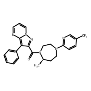 C[C@@H]1CCN(c2ccc(C(F)(F)F)cn2)CCN1C(=O)c1nn2cccnc2c1-c1ccccc1